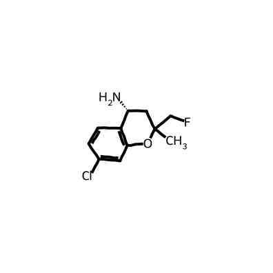 CC1(CF)C[C@@H](N)c2ccc(Cl)cc2O1